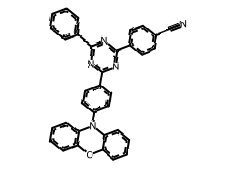 N#Cc1ccc(-c2nc(-c3ccccc3)nc(-c3ccc(N4c5ccccc5Oc5ccccc54)cc3)n2)cc1